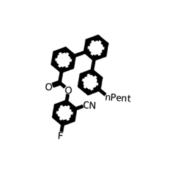 CCCCCc1cccc(-c2ccccc2-c2cccc(C(=O)Oc3ccc(F)cc3C#N)c2)c1